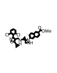 COC(=O)c1ccc2cc(N3NCC34CC4NCc3c(-c4c(Cl)cccc4Cl)noc3C3CC3)ccc2c1